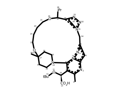 Cc1nc2cc3nn2c(c1[C@H](OC(C)(C)C)C(=O)O)N1CCC(C)(CC1)OCCCCOC(C(C)C)c1cn(nn1)C3